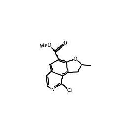 COC(=O)c1cc2ccnc(Cl)c2c2c1OC(C)C2